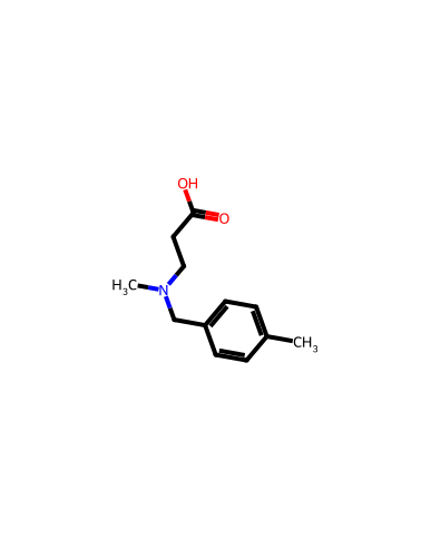 Cc1ccc(CN(C)CCC(=O)O)cc1